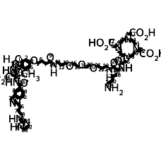 Cc1cc(OCCCC(=O)NCCCOCCOCCOCCCNC(=O)[C@@H](CCCCN)NC(=O)CN2CCN(CC(=O)O)CCN(CC(=O)O)CCN(CC(=O)O)CC2)cc(C)c1S(=O)(=O)NC(CNC(=O)c1ccc2c(cnn2CCCNc2ncc[nH]2)c1)C(=O)O